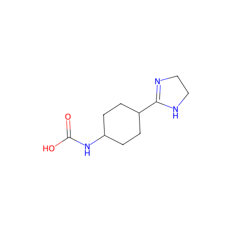 O=C(O)NC1CCC(C2=NCCN2)CC1